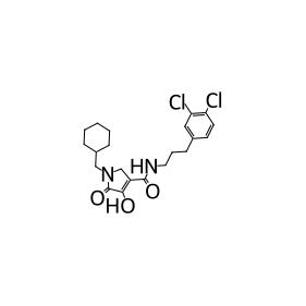 O=C(NCCCc1ccc(Cl)c(Cl)c1)C1=C(O)C(=O)N(CC2CCCCC2)C1